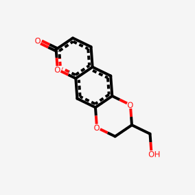 O=c1ccc2cc3c(cc2o1)OCC(CO)O3